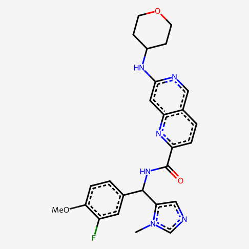 COc1ccc(C(NC(=O)c2ccc3cnc(NC4CCOCC4)cc3n2)c2cncn2C)cc1F